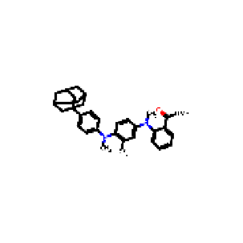 COC(=O)c1ccccc1N(C)c1ccc(N(C)c2ccc(C34CC5CC(CC(C5)C3)C4)cc2)c(C(F)(F)F)c1